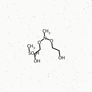 CN(OCCO)OCCO.CS(=O)(=O)O